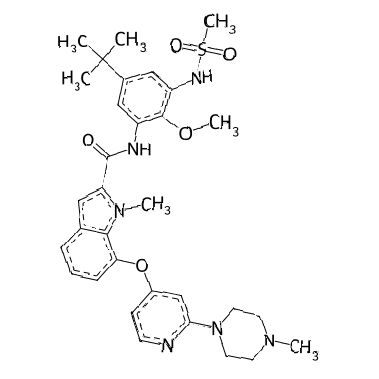 COc1c(NC(=O)c2cc3cccc(Oc4ccnc(N5CCN(C)CC5)c4)c3n2C)cc(C(C)(C)C)cc1NS(C)(=O)=O